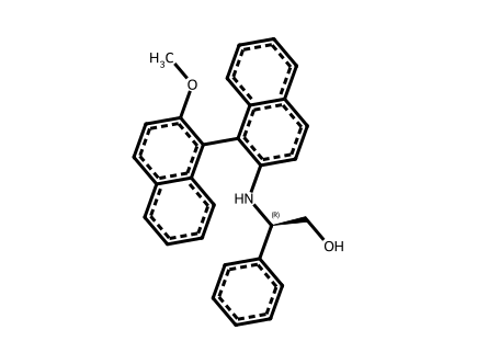 COc1ccc2ccccc2c1-c1c(N[C@@H](CO)c2ccccc2)ccc2ccccc12